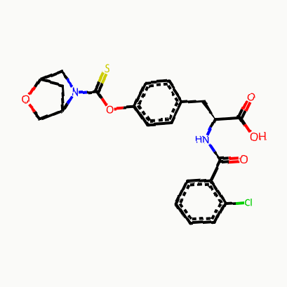 O=C(N[C@@H](Cc1ccc(OC(=S)N2CC3CC2CO3)cc1)C(=O)O)c1ccccc1Cl